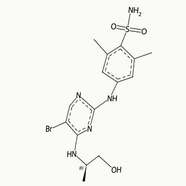 Cc1cc(Nc2ncc(Br)c(N[C@H](C)CO)n2)cc(C)c1S(N)(=O)=O